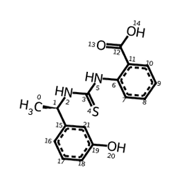 C[C@@H](NC(=S)Nc1ccccc1C(=O)O)c1cccc(O)c1